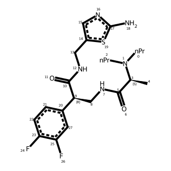 CCCN(CCC)[C@@H](C)C(=O)NC[C@H](C(=O)NCc1cnc(N)s1)c1ccc(F)c(F)c1